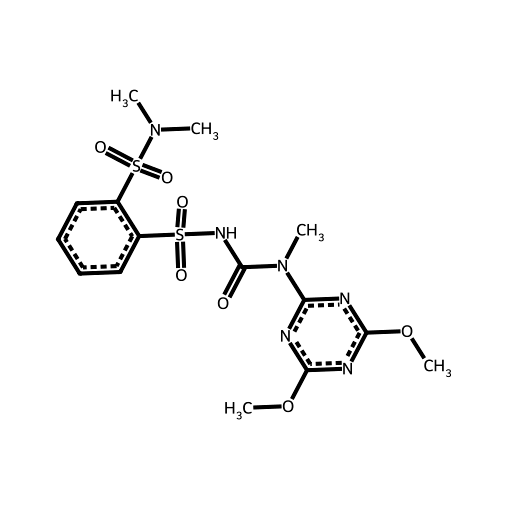 COc1nc(OC)nc(N(C)C(=O)NS(=O)(=O)c2ccccc2S(=O)(=O)N(C)C)n1